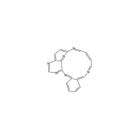 c1ccnc2ccc3ncnc(nc4ccccc4cnc1)c3n2